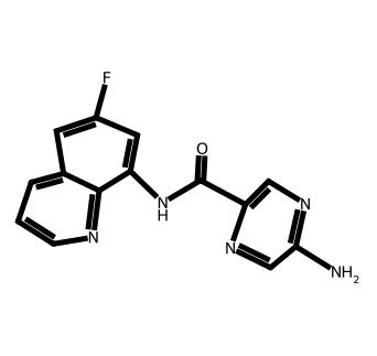 Nc1cnc(C(=O)Nc2cc(F)cc3cccnc23)cn1